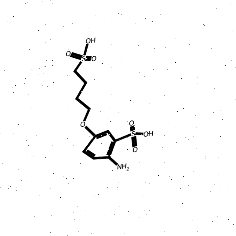 Nc1ccc(OCCCCS(=O)(=O)O)cc1S(=O)(=O)O